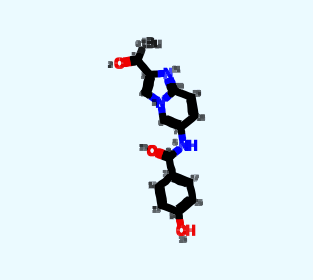 CC(C)(C)C(=O)c1cn2cc(NC(=O)c3ccc(O)cc3)ccc2n1